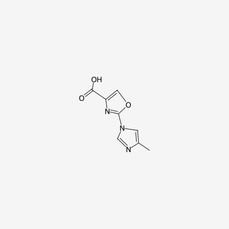 Cc1cn(-c2nc(C(=O)O)co2)cn1